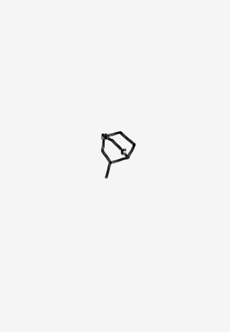 CC1CN2CCC1CC2